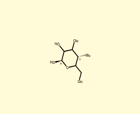 CC(C)(C)[C@@H]1C(CO)O[C@@H](O)C(O)C1O